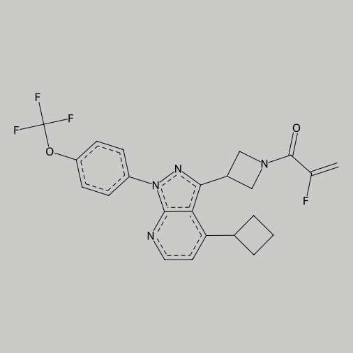 C=C(F)C(=O)N1CC(c2nn(-c3ccc(OC(F)(F)F)cc3)c3nccc(C4CCC4)c23)C1